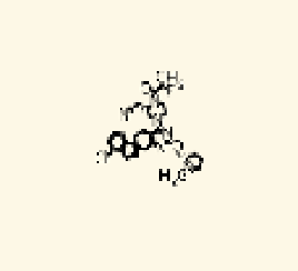 CC(F)C(=O)N1CCN(c2nc(OC[C@@H]3CCCN3C)nc3c2CCC2(C=Cc4c(Cl)cccc42)C3)C[C@@H]1CC#N